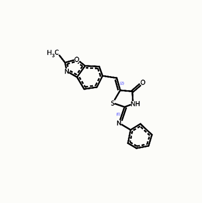 Cc1nc2ccc(/C=C3\S/C(=N/c4ccccc4)NC3=O)cc2o1